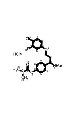 CNC(CCOc1ccc(Cl)c(F)c1)c1ccc(OC(=O)N(C)C)cc1.Cl